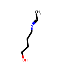 CC=NCCCCO